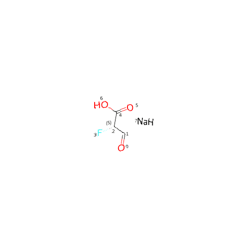 O=C[C@H](F)C(=O)O.[NaH]